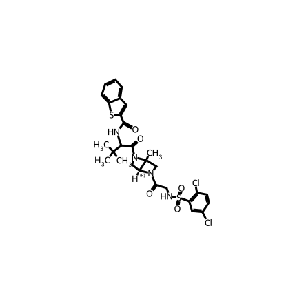 CC(C)(C)C(NC(=O)c1cc2ccccc2s1)C(=O)N1C[C@H]2N(C(=O)CNS(=O)(=O)c3cc(Cl)ccc3Cl)CC21C